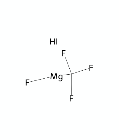 I.[F][Mg][C](F)(F)F